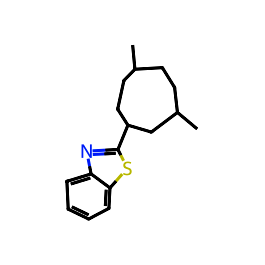 CC1CCC(C)CC(c2nc3ccccc3s2)CC1